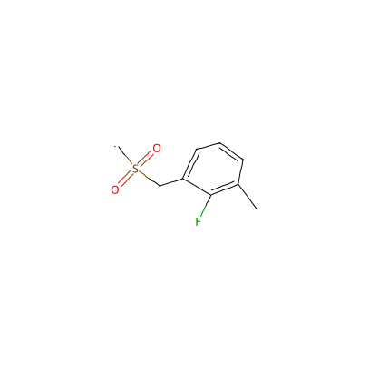 [CH2]S(=O)(=O)Cc1cccc(C)c1F